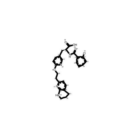 O=C(N[C@@H](Cc1ccc(OCCc2ccc3c(n2)NCCC3)nc1)C(=O)O)c1ccccc1Cl